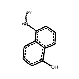 CC(C)Nc1cccc2c(O)cccc12